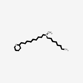 CCCCCCCC[S+](C)CCCCCCCCCC1CCCCO1